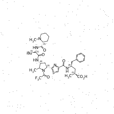 CC[C@H](C)[C@H](NC(=O)[C@H]1CCCCN1C)C(=O)N[C@@H]1C[C@H](c2nc(C(=O)N[C@@H](Cc3ccccc3)C[C@H](C)C(=O)O)cs2)N(C(=O)C(F)(F)F)C1C